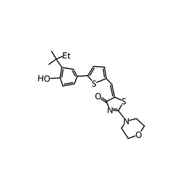 CCC(C)(C)c1cc(-c2ccc(C=C3SC(N4CCOCC4)=NC3=O)s2)ccc1O